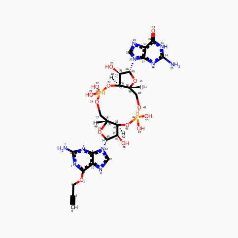 C#CCOc1nc(N)nc2c1ncn2[C@@H]1O[C@@H]2CO[PH](O)(O)O[C@H]3[C@@H](O)[C@H](n4cnc5c(=O)[nH]c(N)nc54)O[C@@H]3CO[PH](O)(O)O[C@H]2[C@H]1O